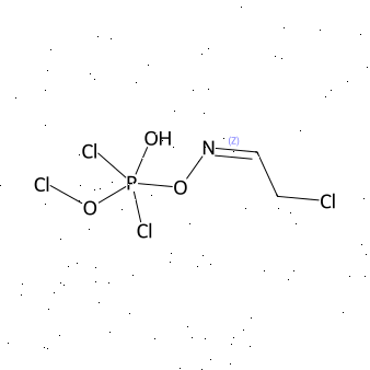 OP(Cl)(Cl)(OCl)O/N=C\CCl